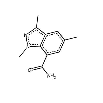 Cc1cc(C(N)=O)c2c(c1)c(C)nn2C